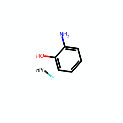 CCCF.Nc1ccccc1O